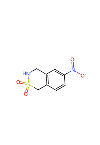 O=[N+]([O-])c1ccc2c(c1)CNS(=O)(=O)C2